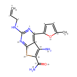 C=CCNc1nc(-c2ccc(C)o2)c2c(N)c(C(N)=O)sc2n1